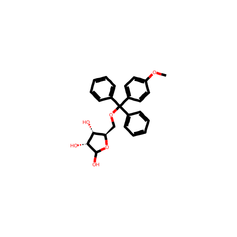 COc1ccc(C(OC[C@H]2OC(O)[C@H](O)[C@@H]2O)(c2ccccc2)c2ccccc2)cc1